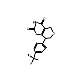 O=c1[nH]c(=O)c2c(o1)C(c1ccc(C(F)(F)F)cc1)COC2